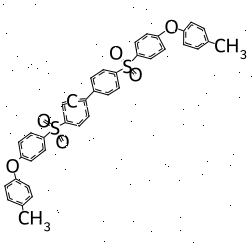 Cc1ccc(Oc2ccc(S(=O)(=O)c3ccc(-c4ccc(S(=O)(=O)c5ccc(Oc6ccc(C)cc6)cc5)cc4)cc3)cc2)cc1